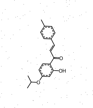 Cc1ccc(/C=C/C(=O)c2ccc(OC(C)C)cc2O)cc1